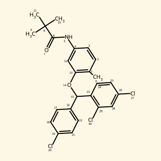 Cc1ccc(NC(=O)C(C)(C)C)cc1OC(c1ccc(Cl)cc1)c1ccc(Cl)cc1Cl